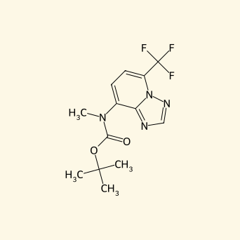 CN(C(=O)OC(C)(C)C)c1ccc(C(F)(F)F)n2ncnc12